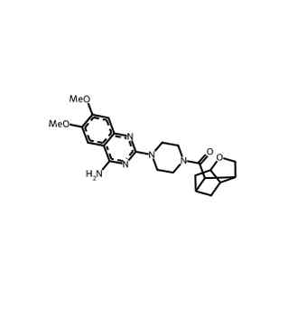 COc1cc2nc(N3CCN(C(=O)C4C5CC6OCC4C6C5)CC3)nc(N)c2cc1OC